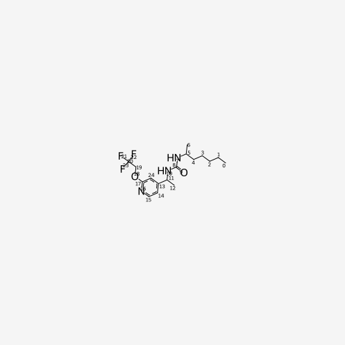 CCCCCC(C)NC(=O)NC(C)c1ccnc(OCC(F)(F)F)c1